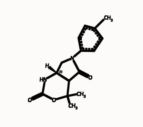 Cc1ccc(N2C[C@H]3NC(=O)OC(C)(C)C3C2=O)cc1